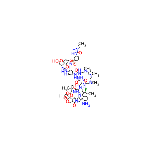 CCCNC(=O)Nc1cccc(S(=O)(=O)Nc2cccc(C(CC(=O)O)NC(=O)Nc3ccc(NC(=O)NCCN(C)CCN(C)CCN(C)CC(=O)NC(CC(N)=O)C(=O)N4CCCC4C(=O)NC(C(=O)OC4(CC)C(=O)OCc5c4cc4n(c5=O)Cc5c-4nc4cc(F)c(C)c6c4c5C(N)CC6)C(C)C)cc3)c2)c1